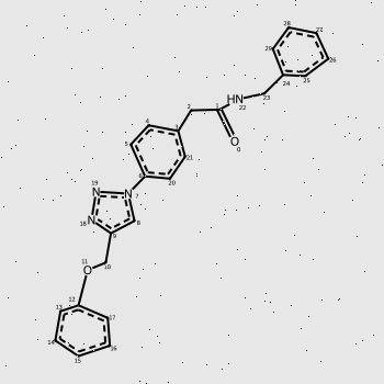 O=C(Cc1ccc(-n2cc(COc3ccccc3)nn2)cc1)NCc1ccccc1